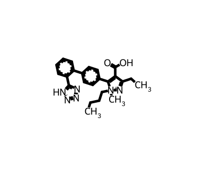 CCCC[N+]1(C)N=C(CC)C(C(=O)O)=C1c1ccc(-c2ccccc2-c2nnn[nH]2)cc1